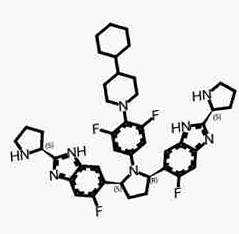 Fc1cc2nc([C@@H]3CCCN3)[nH]c2cc1[C@H]1CC[C@@H](c2cc3[nH]c([C@@H]4CCCN4)nc3cc2F)N1c1cc(F)c(N2CCC(C3CCCCC3)CC2)c(F)c1